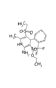 CCOC(=O)C1=C(N)NC(C)=C(S(=O)(=O)CC)C1c1ccccc1C(F)(F)F